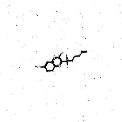 C=CCCCC(F)(F)c1nc2c(nc1O)C=C(OC)CC2